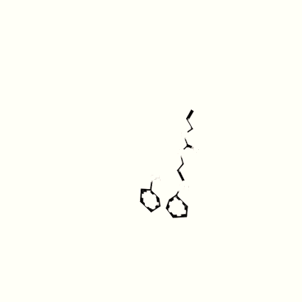 C=CCOC(=O)OCC=C.Sc1ccccc1.Sc1ccccc1